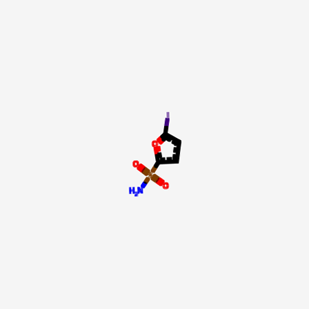 NS(=O)(=O)c1ccc(I)o1